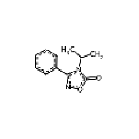 CC(C)n1c(-c2ccccc2)noc1=O